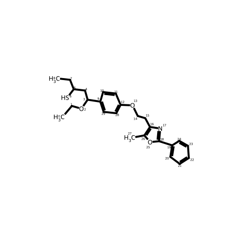 CCOC(CC(S)CC)c1ccc(OCCc2nc(-c3ccccc3)oc2C)cc1